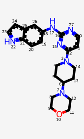 c1cc(N2CCC(N3CCOCC3)CC2)nc(Nc2ccc3[nH]ccc3c2)n1